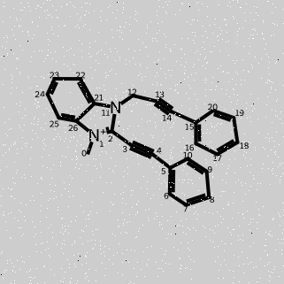 C[n+]1c(C#Cc2ccccc2)n(CC#Cc2ccccc2)c2ccccc21